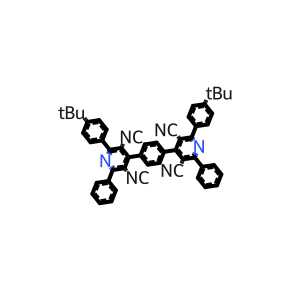 [C-]#[N+]c1c(-c2ccccc2)nc(-c2ccc(C(C)(C)C)cc2)c([N+]#[C-])c1-c1ccc(-c2c(C#N)c(-c3ccccc3)nc(-c3ccc(C(C)(C)C)cc3)c2C#N)cc1